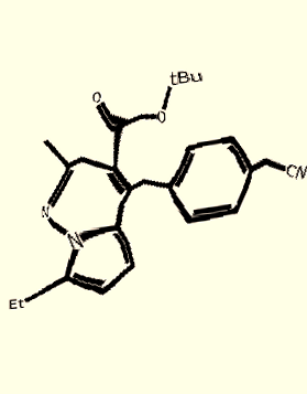 CCc1ccc2c(-c3ccc(C#N)cc3)c(C(=O)OC(C)(C)C)c(C)nn12